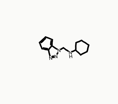 c1ccc2c(c1)nnn2CNC1CCCCC1